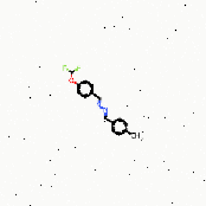 Cc1ccc(C=NN=Cc2ccc(OC(F)F)cc2)cc1